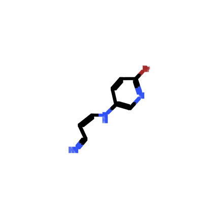 N=C/C=C\Nc1ccc(Br)nc1